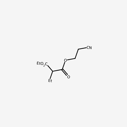 CCOC(=O)C(CC)C(=O)OCCC#N